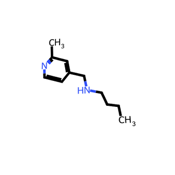 CCCCNCc1ccnc(C)c1